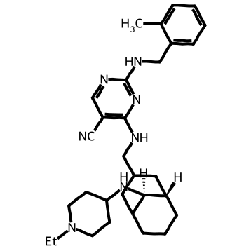 CCN1CCC(N[C@@H]2C3CCC[C@H]2CC(CNc2nc(NCc4ccccc4C)ncc2C#N)C3)CC1